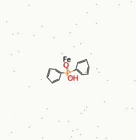 O=P(O)(c1ccccc1)c1ccccc1.[Fe]